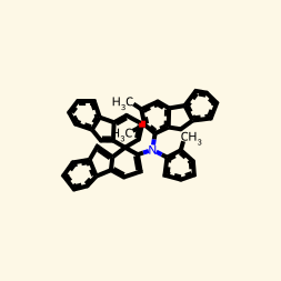 Cc1ccccc1N(C1=CC=C2C(=Cc3ccccc32)C12C=CC=C1C2=Cc2ccccc21)c1c(C)c(C)cc2c1Cc1ccccc1-2